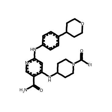 CCC(=O)N1CCC(Nc2cc(Nc3ccc(C4CCOCC4)cc3)ncc2C(N)=O)CC1